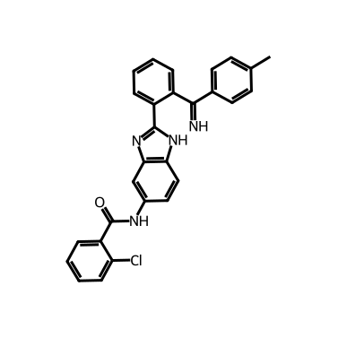 Cc1ccc(C(=N)c2ccccc2-c2nc3cc(NC(=O)c4ccccc4Cl)ccc3[nH]2)cc1